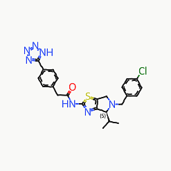 CC(C)[C@H]1c2nc(NC(=O)Cc3ccc(-c4nnn[nH]4)cc3)sc2CN1Cc1ccc(Cl)cc1